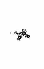 CCN(CC1CCCC1)c1ccc(OC)nc1CN(Cc1cccc(C(F)(F)F)c1)c1nccc(OCC[S+](C)[O-])n1